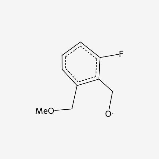 COCc1cccc(F)c1C[O]